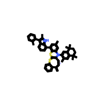 C=C1/C=C\C2=C(Sc3ccccc31)Sc1c(-c3cccc4c(-c5ccccc5C)c(C)[nH]c34)cc(C)cc1N2c1cc2c(cc1C)C(C)(C)CCC2(C)C